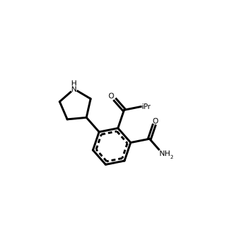 CC(C)C(=O)c1c(C(N)=O)cccc1C1CCNC1